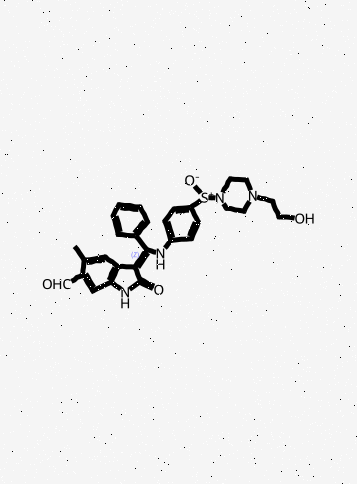 Cc1cc2c(cc1C=O)NC(=O)/C2=C(\Nc1ccc([S+]([O-])N2CCN(CCO)CC2)cc1)c1ccccc1